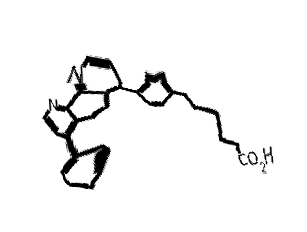 O=C(O)CCCCCc1ccc(-c2ccnc3c2ccc2c(-c4ccccc4)ccnc23)cc1